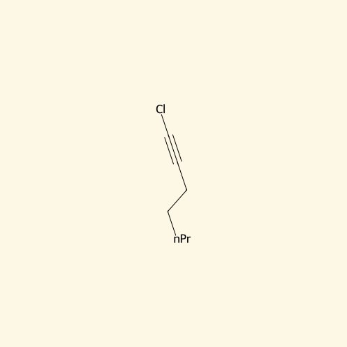 CCCCCC#CCl